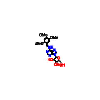 COc1cc(OC)c(OC)cc1CNc1ncnc2c1ncn2[C@@H]1O[C@H](CO)[C@@H](O)[C@H]1O